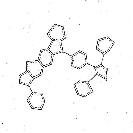 c1ccc(-c2nnc(-c3ccccc3)n2-c2ccc(-n3c4ccccc4c4cc5cc6ccn(-c7ccccc7)c6cc5cc43)cc2)cc1